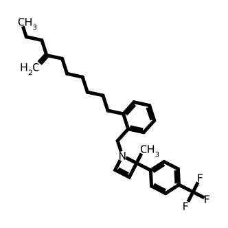 C=C(CCC)CCCCCCc1ccccc1CN1C=CC1(C)c1ccc(C(F)(F)F)cc1